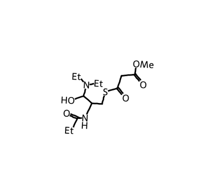 CCC(=O)NC(CSC(=O)CC(=O)OC)C(O)N(CC)CC